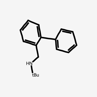 CC(C)(C)NCc1ccccc1-c1ccccc1